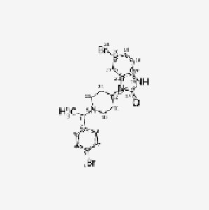 CC(c1ccc(Br)cc1)N1CCC(n2c(=O)[nH]c3ccc(Br)cc32)CC1